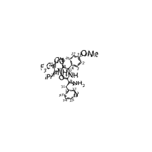 COc1ccc([C@H](NC(=O)[C@@H](N)Cc2cccnc2)C(=O)N[C@@H](C(C)C)[C@H](O)C(F)(F)F)cc1